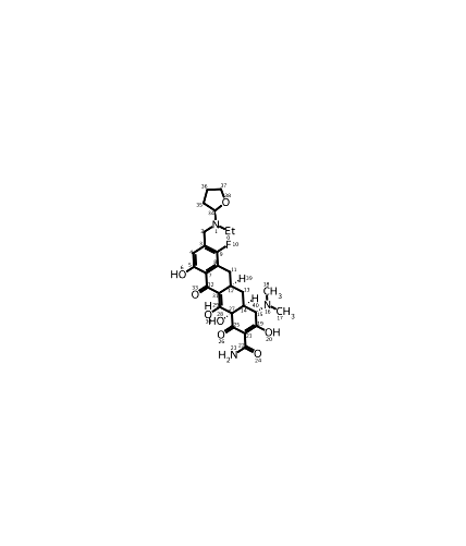 CCN(Cc1cc(O)c2c(c1F)C[C@H]1C[C@H]3[C@H](N(C)C)C(O)=C(C(N)=O)C(=O)[C@@]3(O)C(O)=C1C2=O)[C@H]1CCCO1